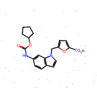 O=C(Nc1ccc2ccn(Cc3ccc(C(=O)O)o3)c2c1)OC1CCCC1